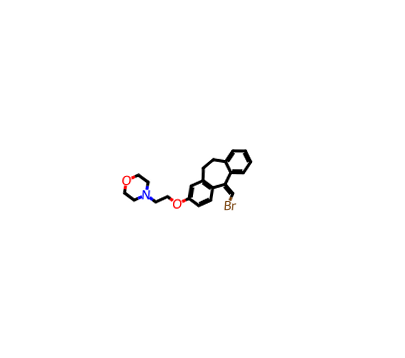 BrC=C1c2ccccc2CCc2cc(OCCN3CCOCC3)ccc21